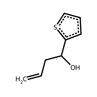 C=CCC(O)c1cccs1